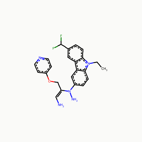 CCn1c2ccc(C(F)F)cc2c2cc(N(N)/C(=C\N)COc3ccncc3)ccc21